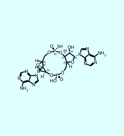 Nc1ncnc2c1ncn2[C@@H]1O[C@@H]2COP(=O)(O)O[C@@H]3[C@H](O)[C@@H](CO[P@@](=O)(S)O[C@H]2[C@H]1O)O[C@H]3n1cnc2c(N)ncnc21